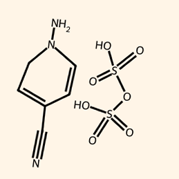 N#CC1=CCN(N)C=C1.O=S(=O)(O)OS(=O)(=O)O